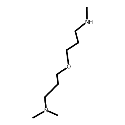 CNCCCOCCCN(C)C